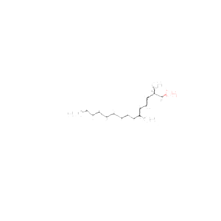 CCCCCCCCCC(C)CCCC(C)CO